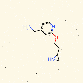 NCc1ccnc(OCCC2CN2)c1